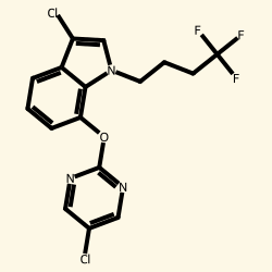 FC(F)(F)CCCn1cc(Cl)c2cccc(Oc3ncc(Cl)cn3)c21